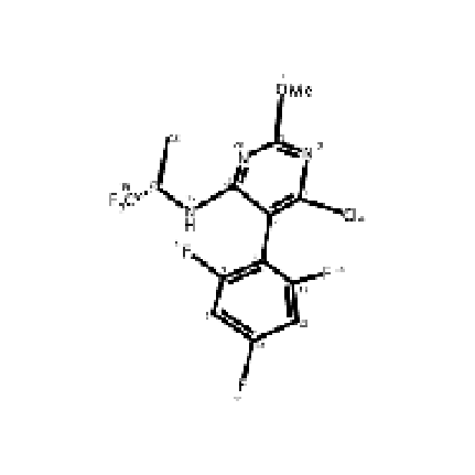 COc1nc(Cl)c(-c2c(F)cc(F)cc2F)c(N[C@@H](C)C(F)(F)F)n1